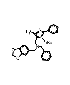 CCCCn1c(-c2ccccc2)nc(C(F)(F)F)c1CN(Cc1ccccc1)Cc1ccc2c(c1)OCO2